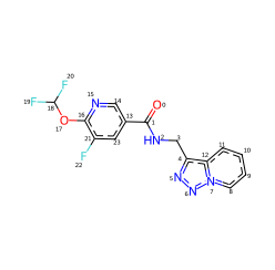 O=C(NCc1nnn2ccccc12)c1cnc(OC(F)F)c(F)c1